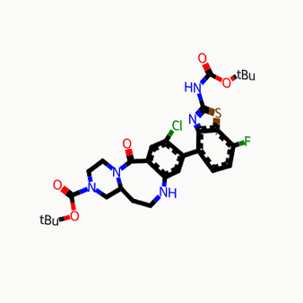 CC(C)(C)OC(=O)Nc1nc2c(-c3cc4c(cc3Cl)C(=O)N3CCN(C(=O)OC(C)(C)C)CC3CCN4)ccc(F)c2s1